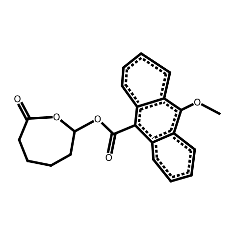 COc1c2ccccc2c(C(=O)OC2CCCCC(=O)O2)c2ccccc12